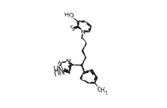 Cc1ccc(C(CCCCn2cccc(O)c2=S)c2c[nH]nn2)cc1